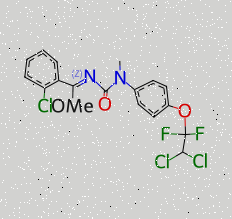 CO/C(=N\C(=O)N(C)c1ccc(OC(F)(F)C(Cl)Cl)cc1)c1ccccc1Cl